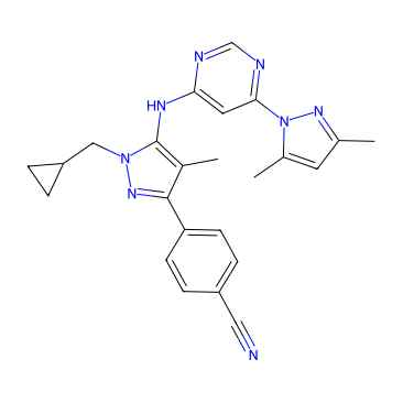 Cc1cc(C)n(-c2cc(Nc3c(C)c(-c4ccc(C#N)cc4)nn3CC3CC3)ncn2)n1